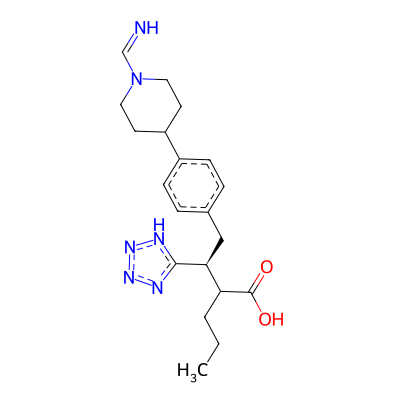 CCCC(C(=O)O)[C@H](Cc1ccc(C2CCN(C=N)CC2)cc1)c1nnn[nH]1